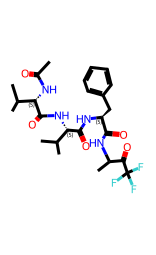 CC(=O)N[C@H](C(=O)N[C@H](C(=O)N[C@@H](Cc1ccccc1)C(=O)NC(C)C(=O)C(F)(F)F)C(C)C)C(C)C